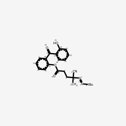 CC(C)(C)/N=N/C(C)(C#N)CCC(=O)Oc1ccccc1C(=O)c1ccccc1O